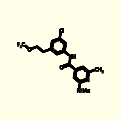 CC(=O)Nc1cc(C(=O)Nc2cc(Cl)cc(CCOC(F)(F)F)c2)cc(C)n1